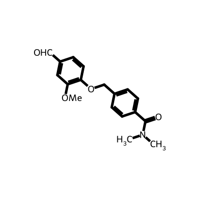 COc1cc(C=O)ccc1OCc1ccc(C(=O)N(C)C)cc1